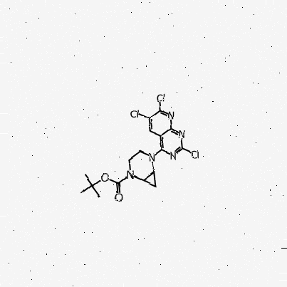 CC(C)(C)OC(=O)N1CCN(c2nc(Cl)nc3nc(Cl)c(Cl)cc23)C2CC21